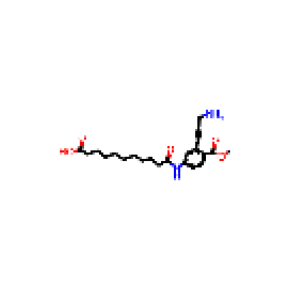 COC(=O)c1ccc(NC(=O)CCCCCCCCCC(=O)O)cc1C#CCN